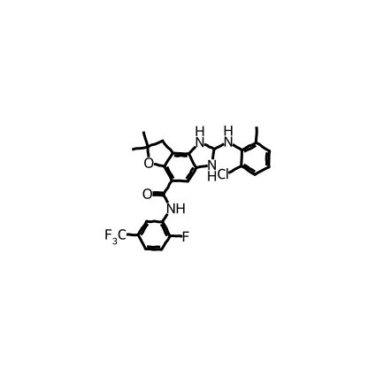 Cc1cccc(Cl)c1NC1Nc2cc(C(=O)Nc3cc(C(F)(F)F)ccc3F)c3c(c2N1)CC(C)(C)O3